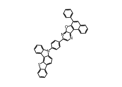 c1ccc(-c2cc3ccccc3c3c2oc2nc(-c4ccc(-n5c6ccccc6c6c7sc8ccccc8c7ccc65)cc4)cnc23)cc1